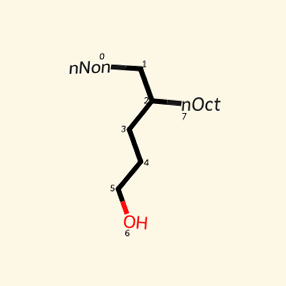 CCCCCCCCCCC(CCCO)CCCCCCCC